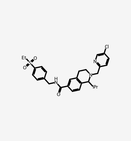 CCS(=O)(=O)c1ccc(CNC(=O)c2ccc3c(c2)CCN(Cc2ccc(Cl)cn2)C3C(C)C)cc1